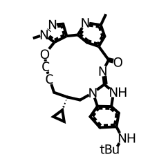 Cc1cc2cc(n1)-c1cnn(C)c1OCCC[C@@H](C1CC1)CN1/C(=N/C2=O)Nc2cc(NC(C)(C)C)ccc21